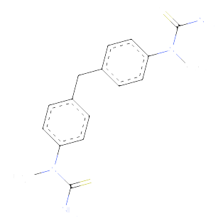 CCOC(=O)N(C(N)=S)c1ccc(Cc2ccc(N(C(=O)OCC)C(N)=S)cc2)cc1